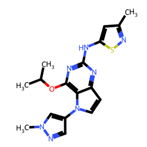 Cc1cc(Nc2nc(OC(C)C)c3c(ccn3-c3cnn(C)c3)n2)sn1